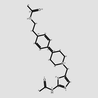 CC(=O)Nc1ncc(CN2CCC(=C3C=CC(CCOC(C)=O)C=C3)CC2)s1